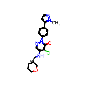 Cn1nccc1-c1ccc(-n2ncc(NC[C@@H]3CCCOC3)c(Cl)c2=O)cc1